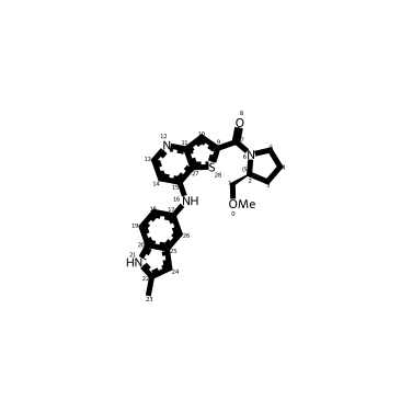 COC[C@@H]1CCCN1C(=O)c1cc2nccc(Nc3ccc4[nH]c(C)cc4c3)c2s1